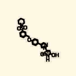 O=S(=O)(c1cccc(COc2ccc(-c3cnn(C4=CC(O)N[S+]4[O-])c3)cc2)c1)N1CCCCC1